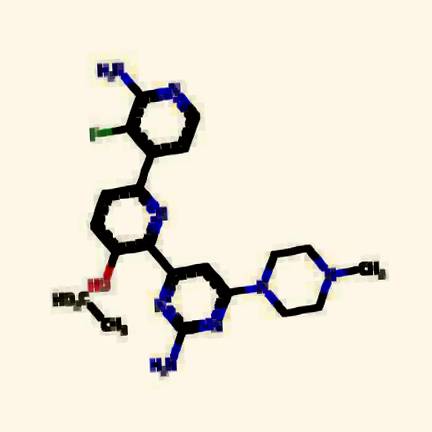 CC(=O)O.CN1CCN(c2cc(-c3nc(-c4ccnc(N)c4F)ccc3O)nc(N)n2)CC1